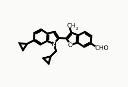 Cc1c(-c2cc3ccc(C4CC4)cc3n2CC2CC2)oc2cc(C=O)ccc12